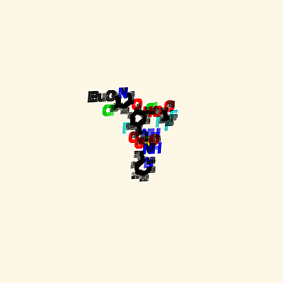 CC(C)COc1ncc(Oc2cc(F)c(C(=O)NS(=O)(=O)NCc3ccccn3)cc2Cl)cc1Cl.O=C(O)C(F)(F)F